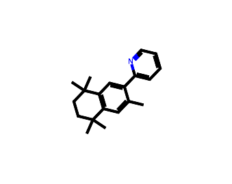 Cc1cc2c(cc1-c1ccccn1)C(C)(C)CCC2(C)C